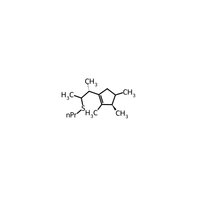 CCCSC(C)[C@H](C)C1=C(C)[C@H](C)C(C)C1